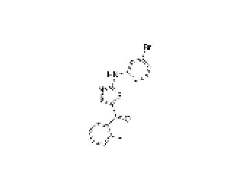 Cc1ccccc1C(=O)c1cnc(Nc2cccc(Br)c2)s1